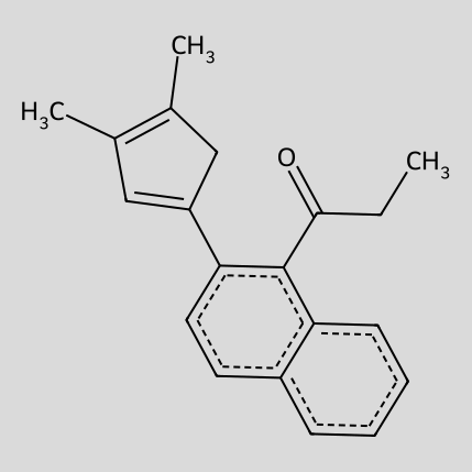 CCC(=O)c1c(C2=CC(C)=C(C)C2)ccc2ccccc12